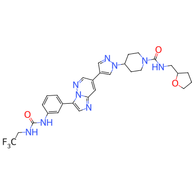 O=C(NCC(F)(F)F)Nc1cccc(-c2cnc3cc(-c4cnn(C5CCN(C(=O)NCC6CCCO6)CC5)c4)cnn23)c1